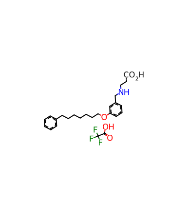 O=C(O)C(F)(F)F.O=C(O)CCNCc1cccc(OCCCCCCCc2ccccc2)c1